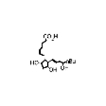 CCCCC(O)C/C=C/[C@@H]1[C@@H](C/C=C\CCCC(=O)O)[C@@H](O)C[C@H]1O